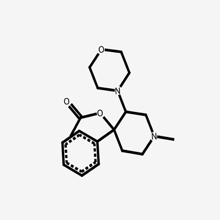 CC(=O)OC1(c2ccccc2)CCN(C)CC1N1CCOCC1